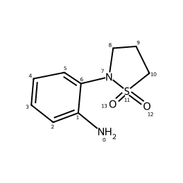 Nc1ccccc1N1CCCS1(=O)=O